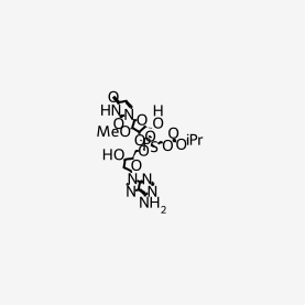 CO[C@H]1C(O[P@@](=O)(OC[C@H]2O[C@@H](n3cnc4c(N)ncnc43)C[C@H]2O)SCOC(=O)OC(C)C)[C@@H](CO)O[C@H]1n1ccc(=O)[nH]c1=O